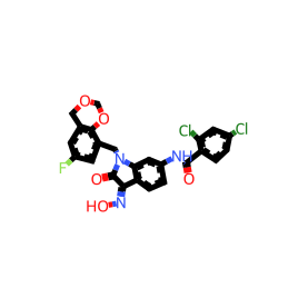 O=C(Nc1ccc2c(c1)N(Cc1cc(F)cc3c1OCOC3)C(=O)/C2=N\O)c1ccc(Cl)cc1Cl